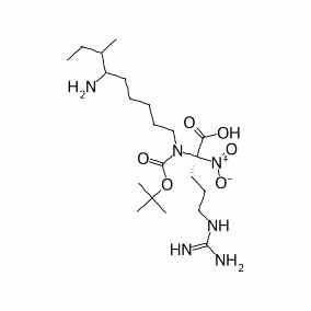 CCC(C)C(N)CCCCCN(C(=O)OC(C)(C)C)[C@@](CCCNC(=N)N)(C(=O)O)[N+](=O)[O-]